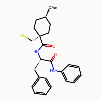 CO[C@H]1CC[C@@](CS)(C(=O)N[C@@H](Cc2ccccc2)C(=O)Nc2ccccc2)CC1